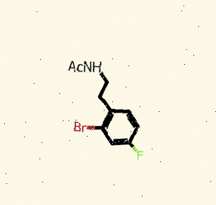 CC(=O)NCCc1ccc(F)cc1Br